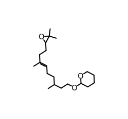 C/C(=C\CCC(C)CCOC1CCCCO1)CCC1OC1(C)C